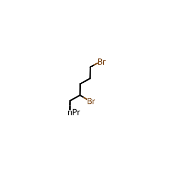 CCCCC(Br)CCCBr